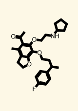 CC(=O)c1c(C)c2c(c(OCCC(C)c3ccc(F)cc3)c1OCCNC1CCCC1)OCC2